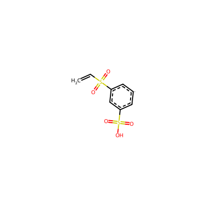 C=CS(=O)(=O)c1c[c]cc(S(=O)(=O)O)c1